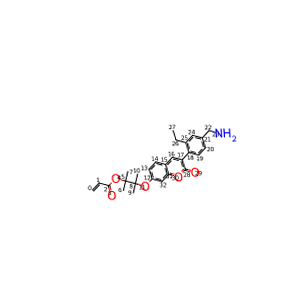 C=CC(=O)OC(C)(C)C(C)(C)Oc1ccc2cc(-c3ccc(CN)cc3CC)c(=O)oc2c1